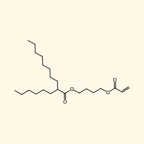 C=CC(=O)OCCCCOC(=O)C(CCCCCC)CCCCCCCC